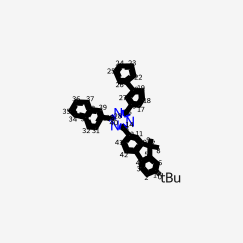 CC(C)(C)c1ccc2c(c1)C(C)(C)c1cc(-c3nc(-c4cccc(-c5ccccc5)c4)nc(-c4ccc5ccccc5c4)n3)ccc1-2